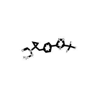 CON(C=O)C1(Cc2ccc(-c3noc(C(F)(F)F)n3)cc2)CC1